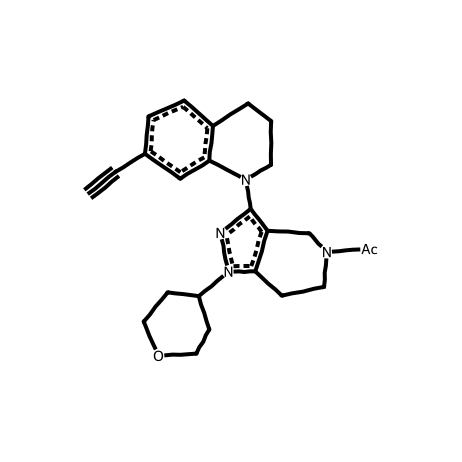 C#Cc1ccc2c(c1)N(c1nn(C3CCOCC3)c3c1CN(C(C)=O)CC3)CCC2